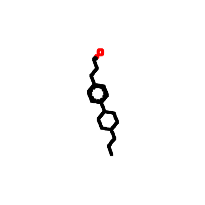 CCCC1CCC(c2ccc(CCC=O)cc2)CC1